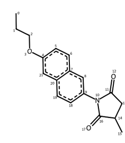 CCCOc1ccc2cc(N3C(=O)CC(C)C3=O)ccc2c1